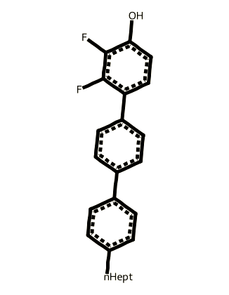 CCCCCCCc1ccc(-c2ccc(-c3ccc(O)c(F)c3F)cc2)cc1